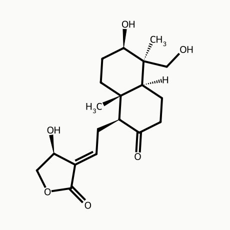 C[C@]1(CO)[C@H]2CCC(=O)[C@@H](C/C=C3/C(=O)OC[C@H]3O)[C@]2(C)CC[C@H]1O